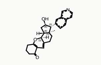 C[C@]12CCC3=CC4=C(CCCC4=O)O[C@H]3[C@@H]1C[C@@H](O)[C@@H]2c1ccc2ccncc2c1